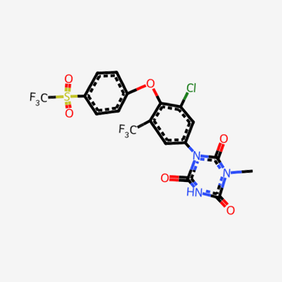 Cn1c(=O)[nH]c(=O)n(-c2cc(Cl)c(Oc3ccc(S(=O)(=O)C(F)(F)F)cc3)c(C(F)(F)F)c2)c1=O